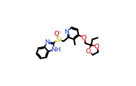 CCC1(COc2ccnc(C[S+]([O-])c3nc4ccccc4[nH]3)c2C)OCCO1